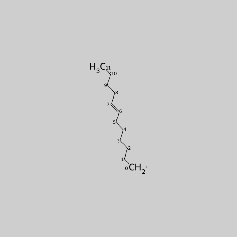 [CH2]CCCCCC=CCC[CH]C